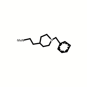 C[N]CCC1CCN(Cc2ccccc2)CC1